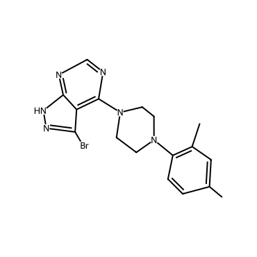 Cc1ccc(N2CCN(c3ncnc4[nH]nc(Br)c34)CC2)c(C)c1